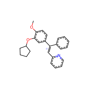 COc1ccc(/C(=C/c2ccccn2)c2ccccc2)cc1OC1CCCC1